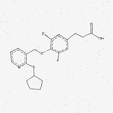 O=C(O)CCc1cc(F)c(OCc2cccnc2SC2CCCC2)c(F)c1